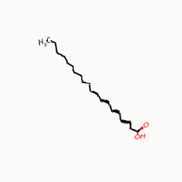 CCCCCCCCCCCCC=CC=CC=CCC(=O)O